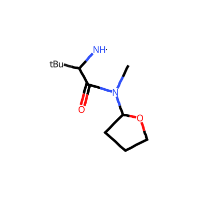 CN(C(=O)C([NH])C(C)(C)C)C1CCCO1